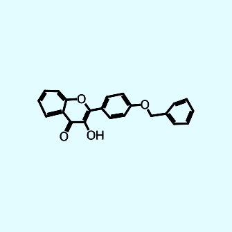 O=c1c(O)c(-c2ccc(OCc3ccccc3)cc2)oc2ccccc12